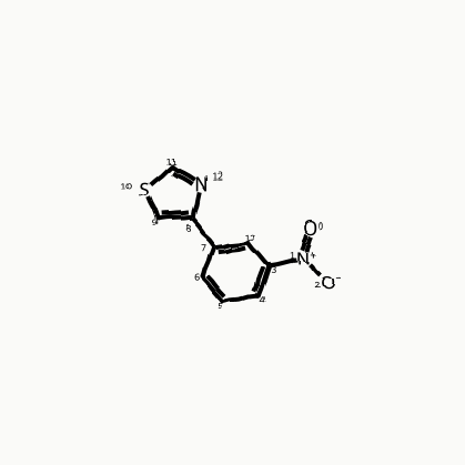 O=[N+]([O-])c1cccc(-c2cscn2)c1